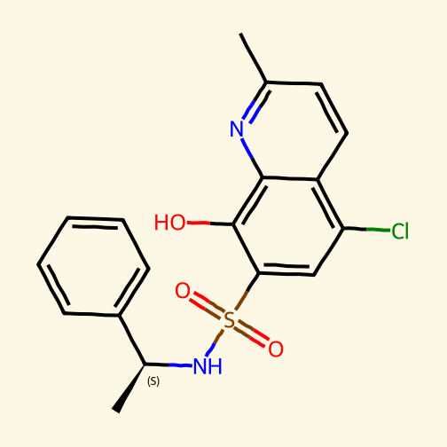 Cc1ccc2c(Cl)cc(S(=O)(=O)N[C@@H](C)c3ccccc3)c(O)c2n1